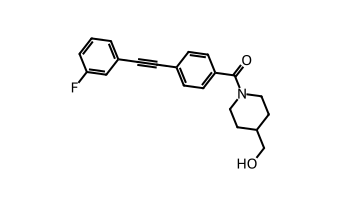 O=C(c1ccc(C#Cc2cccc(F)c2)cc1)N1CCC(CO)CC1